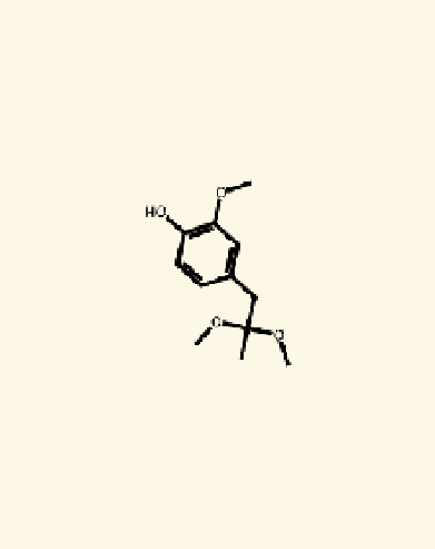 COc1cc(CC(C)(OC)OC)ccc1O